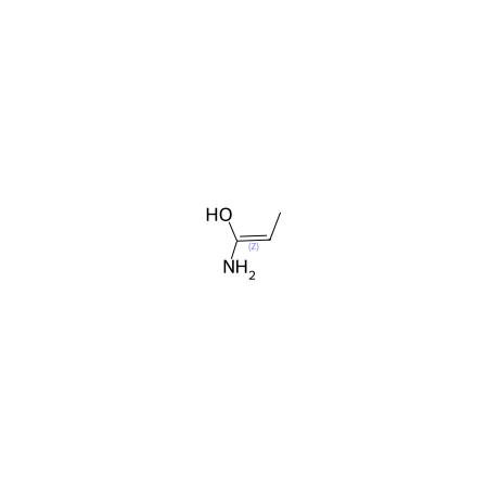 C/C=C(/N)O